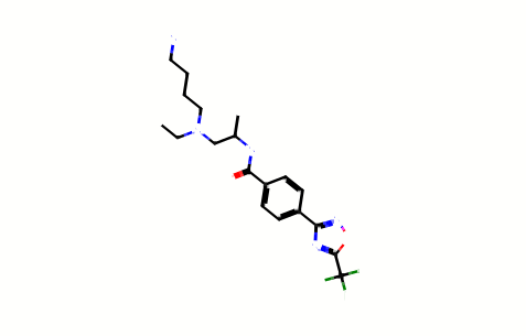 CCN(CCCCN)CC(C)NC(=O)c1ccc(-c2noc(C(F)(F)F)n2)cc1